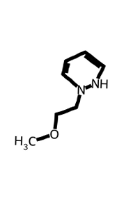 COCCN1C=CC=CN1